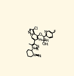 [2H]C([2H])(O)C(Oc1cc(-c2nnn(C3CCCCN3C#N)c2C)cn2ncc(Cl)c12)c1ccc(F)cn1